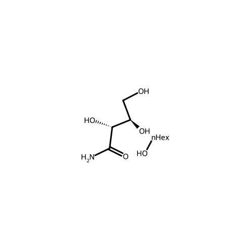 CCCCCCO.NC(=O)[C@H](O)[C@H](O)CO